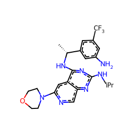 CC(C)Nc1nc(N[C@H](C)c2cc(N)cc(C(F)(F)F)c2)c2cc(N3CCOCC3)ncc2n1